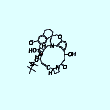 CC(C)(C)[Si](C)(C)O[C@H]1/C=C/C[C@H]2CCN2C(=O)C[C@H](O)c2ccc3c(c2)N(C[C@@H]2CC[C@H]21)C[C@@]1(CCCc2cc(Cl)c(C(=O)O)cc21)CO3